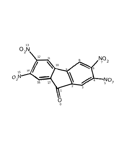 O=C1c2cc([N+](=O)[O-])c([N+](=O)[O-])cc2-c2cc([N+](=O)[O-])c([N+](=O)[O-])cc21